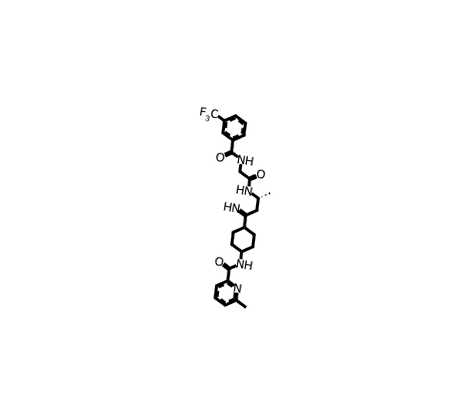 Cc1cccc(C(=O)NC2CCC(C(=N)C[C@@H](C)NC(=O)CNC(=O)c3cccc(C(F)(F)F)c3)CC2)n1